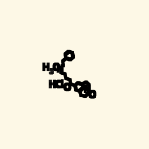 CN(CCCCC(=O)c1cc2c3c(c1)CCN3C(=O)CC2)CCc1ccccc1.Cl